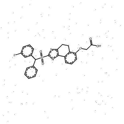 O=C(O)COc1cccc2c1CCc1sc(S(=O)(=O)C(c3ccccc3)c3cccc(F)c3)nc1-2